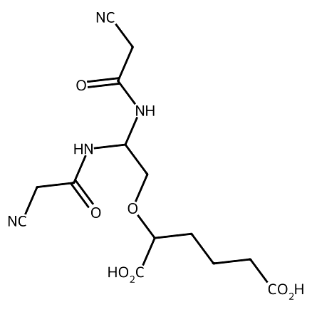 N#CCC(=O)NC(COC(CCCC(=O)O)C(=O)O)NC(=O)CC#N